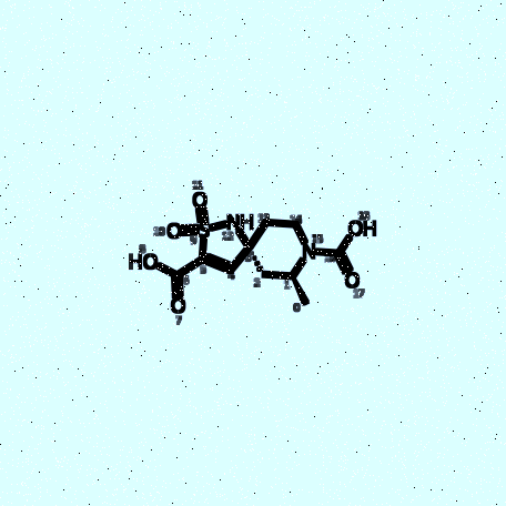 C[C@H]1C[C@@]2(C=C(C(=O)O)S(=O)(=O)N2)CCN1C(=O)O